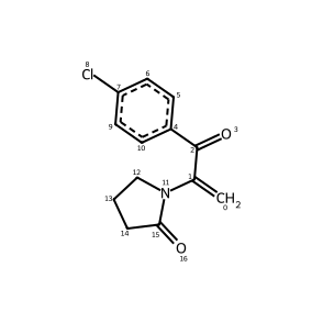 C=C(C(=O)c1ccc(Cl)cc1)N1CCCC1=O